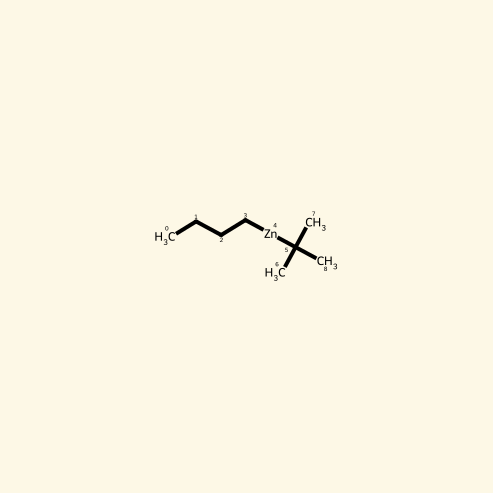 CCC[CH2][Zn][C](C)(C)C